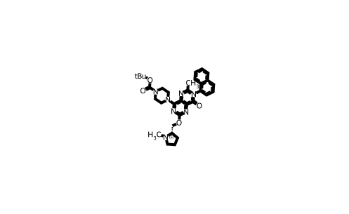 Cc1nc2c(N3CCN(C(=O)OC(C)(C)C)CC3)nc(OC[C@@H]3CCCN3C)nc2c(=O)n1-c1cccc2ccccc12